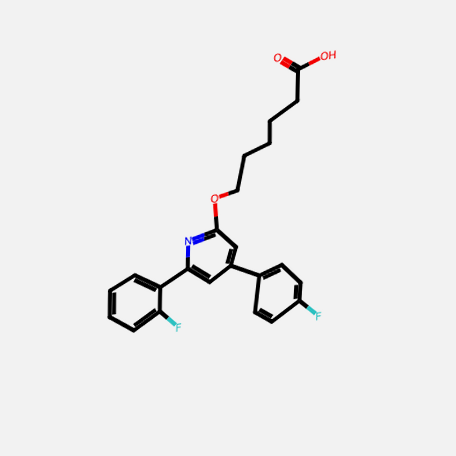 O=C(O)CCCCCOc1cc(-c2ccc(F)cc2)cc(-c2ccccc2F)n1